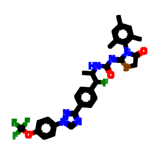 Cc1cc(C)c(N2C(=O)CS/C2=N\C(=O)NC(C)C(F)c2ccc(-c3ncn(-c4ccc(OC(F)(F)F)cc4)n3)cc2)c(C)c1